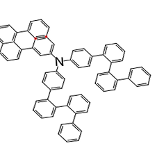 c1ccc(-c2ccccc2-c2ccccc2-c2ccc(N(c3ccc(-c4ccccc4-c4ccccc4-c4ccccc4)cc3)c3cccc(-c4cccc5cccc(-c6ccccc6)c45)c3)cc2)cc1